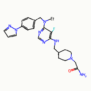 CCN(Cc1ccc(-n2cccn2)cc1)c1ncnc(NCC2CCN(CC(N)=O)CC2)c1F